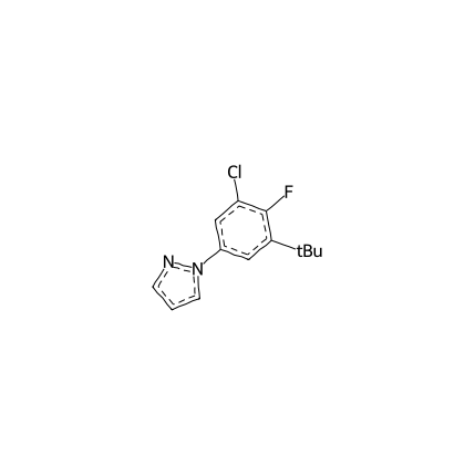 CC(C)(C)c1cc(-n2cccn2)cc(Cl)c1F